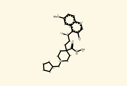 COc1ccc2ncc(Cl)c([C@H](F)CCC3(C(=O)NO)CCN(CC4CCCC4)CC3)c2c1